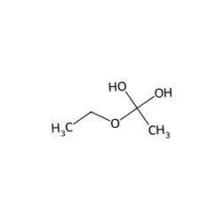 CCOC(C)(O)O